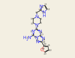 Nc1nc(N2CCN(Cc3ncc[nH]3)CC2)nc2nc(-c3ccco3)nn12